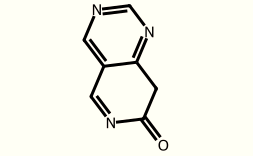 O=C1Cc2ncncc2C=N1